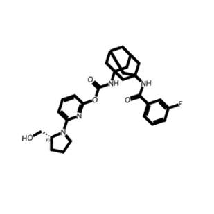 O=C(NC12CC3CC(C1)CC(NC(=O)c1cccc(F)c1)(C3)C2)Oc1cccc(N2CCC[C@@H]2CO)n1